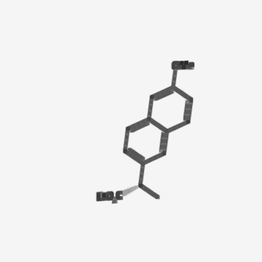 CCOC(=O)[C@@H](C)c1ccc2cc(OC)ccc2c1